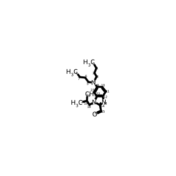 CCCCN(CCCC)c1ccc2nc(C=O)n(CC(C)C)c2c1